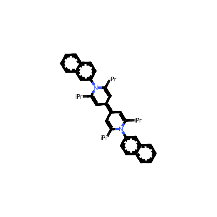 CC(C)C1=CC(=C2C=C(C(C)C)N(c3ccc4ccccc4c3)C(C(C)C)=C2)C=C(C(C)C)N1c1ccc2ccccc2c1